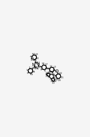 c1ccc(-c2nc(-c3ccc(-c4ccc5c(c4)C4(c6ccccc6O5)c5ccccc5-c5ccccc54)cc3)nc(-c3ccccn3)n2)cc1